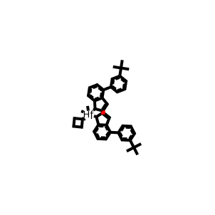 CC(C)(C)c1cccc(-c2cccc3c2C=C[CH]3[Hf]([CH3])([CH3])(=[C]2CCC2)[CH]2C=Cc3c(-c4cccc(C(C)(C)C)c4)cccc32)c1